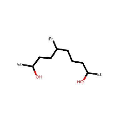 CCC(O)CCCC(CCC(O)CC)C(C)C